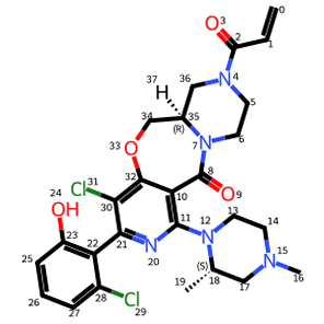 C=CC(=O)N1CCN2C(=O)c3c(N4CCN(C)C[C@@H]4C)nc(-c4c(O)cccc4Cl)c(Cl)c3OC[C@H]2C1